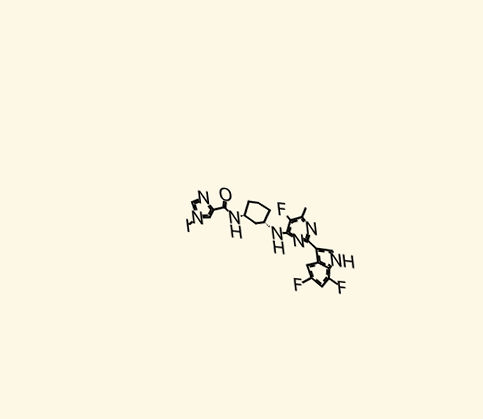 Cc1nc(-c2c[nH]c3c(F)cc(F)cc23)nc(N[C@H]2CCC[C@@H](NC(=O)c3cn(I)cn3)C2)c1F